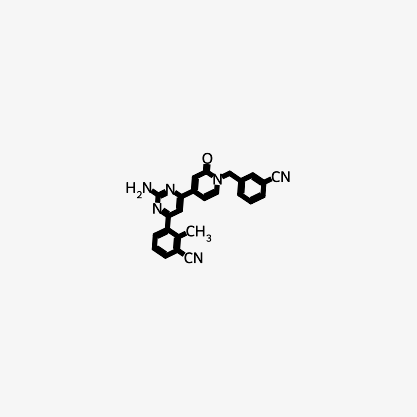 Cc1c(C#N)cccc1-c1cc(-c2ccn(Cc3cccc(C#N)c3)c(=O)c2)nc(N)n1